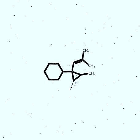 CC(C)=CC1(C2CCCCC2)C(C)[C@@H]1F